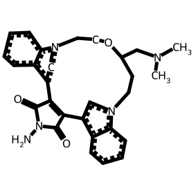 CN(C)CC1CCn2cc(c3ccccc32)C2=C(C(=O)N(N)C2=O)c2cn(c3ccccc23)CCO1